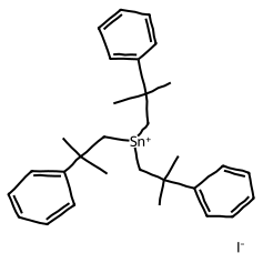 CC(C)([CH2][Sn+]([CH2]C(C)(C)c1ccccc1)[CH2]C(C)(C)c1ccccc1)c1ccccc1.[I-]